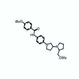 COCC1CCCN1C1CCN(c2ccc(NC(=O)c3ccc(OCC(C)C)cc3)cc2)C1